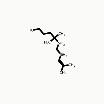 CC(C)=C[SiH2]C[SiH2]C(C)(C)CCCO